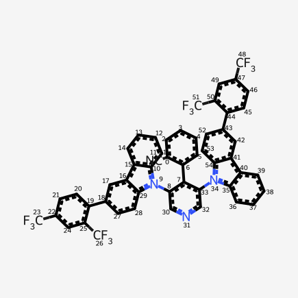 N#Cc1ccccc1-c1c(-n2c3ccccc3c3cc(-c4ccc(C(F)(F)F)cc4C(F)(F)F)ccc32)cncc1-n1c2ccccc2c2cc(-c3ccc(C(F)(F)F)cc3C(F)(F)F)ccc21